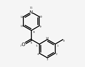 Cc1cccc(C(=O)c2ccncc2)c1